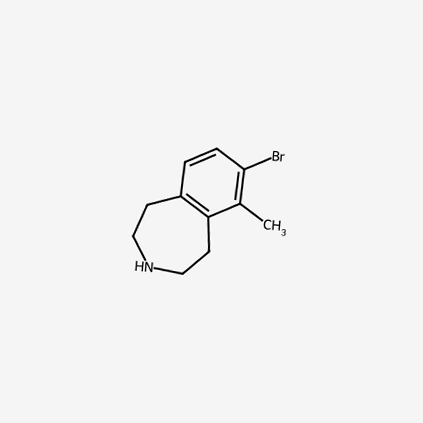 Cc1c(Br)ccc2c1CCNCC2